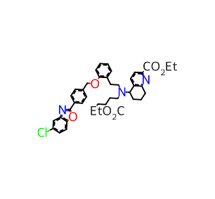 CCOC(=O)CCCCN(CCc1ccccc1OCc1ccc(-c2nc3cc(Cl)ccc3o2)cc1)C1CCCc2nc(C(=O)OCC)ccc21